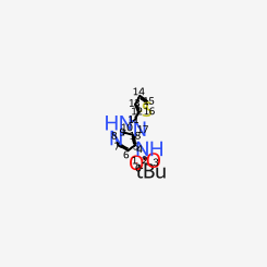 CC(C)(C)OC(=O)Nc1ccnc2[nH]c(-c3cccs3)nc12